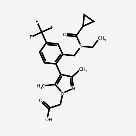 CCN(Cc1cc(C(F)(F)F)ccc1-c1c(C)nn(CC(=O)O)c1C)C(=O)C1CC1